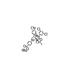 CN1C(=O)N(c2cc(Cl)cc(Cl)c2)C(=O)C12CN(c1ccc(C(=O)OC(C)(C)C)cc1)CC2c1ccc(C#N)cc1